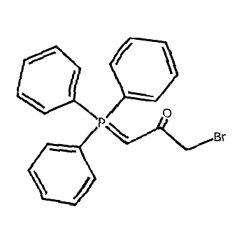 O=C(C=P(c1ccccc1)(c1ccccc1)c1ccccc1)CBr